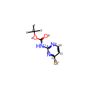 CC(C)(C)OC(=O)Nc1nccc(Br)n1